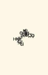 COc1ccc(OC)c(Cc2nc(C(=O)NCCc3c[nH]c4ccc(Cl)cc34)no2)c1